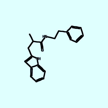 C[C](Cc1cc2ccccc2[nH]1)C(=O)NCCc1ccccc1